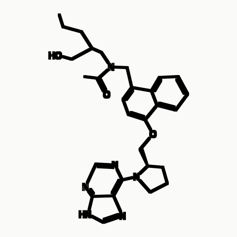 CCCC(CO)CN(Cc1ccc(OC[C@H]2CCCN2c2ncnc3[nH]cnc23)c2ccccc12)C(C)=O